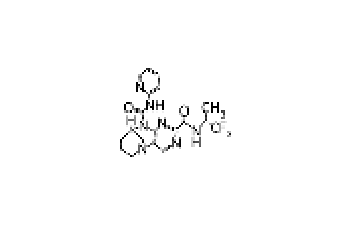 C[C@@H](NC(=O)c1ncc2c(n1)N(C(=O)Nc1ccccn1)[C@H]1CCCN2C1)C(F)(F)F